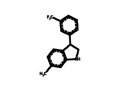 Cc1ccc2c(c1)NCC2c1cccc(C(F)(F)F)c1